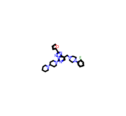 Fc1ccccc1N1CCN(Cc2cnc(N3CCC(N4CCCCC4)CC3)n3nc(-c4ccco4)nc23)CC1